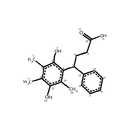 Cc1c(C)c(O)c(C(CCC(=O)O)c2ccccc2)c(C)c1O